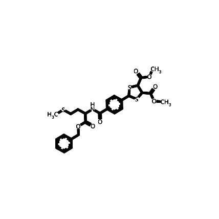 COC(=O)C1SC(c2ccc(C(=O)NC(CCSC)C(=O)OCc3ccccc3)cc2)SC1C(=O)OC